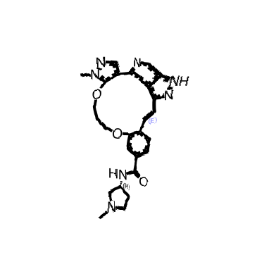 CN1CC[C@@H](NC(=O)c2ccc3c(c2)OCCCOc2c(cnn2C)-c2cc4c(n[nH]c4cn2)/C=C/3)C1